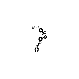 CSc1ccc(C(=O)CN2CCCC2c2cccc(OCCCN3CCOCC3)c2)cc1